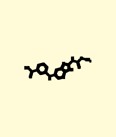 COC(=O)Nc1nc2cc(Nc3cccc(C(=O)O)c3)cnc2[nH]1